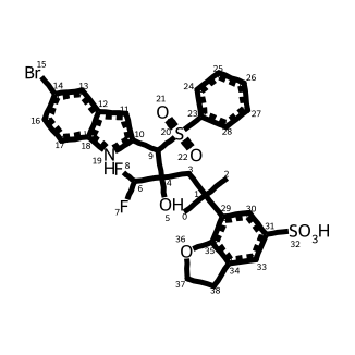 CC(C)(CC(O)(C(F)F)C(c1cc2cc(Br)ccc2[nH]1)S(=O)(=O)c1ccccc1)c1cc(S(=O)(=O)O)cc2c1OCC2